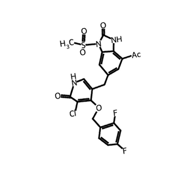 CC(=O)c1cc(Cc2c[nH]c(=O)c(Cl)c2OCc2ccc(F)cc2F)cc2c1[nH]c(=O)n2S(C)(=O)=O